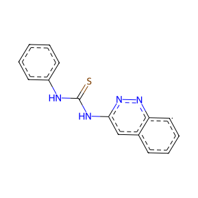 S=C(Nc1ccccc1)Nc1cc2ccc[c]c2nn1